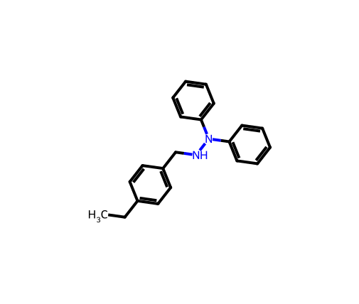 CCc1ccc(CNN(c2ccccc2)c2ccccc2)cc1